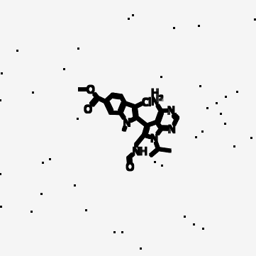 COC(=O)c1ccc2c(Cl)c(-c3c(CNC=O)n(C(C)C)c4ncnc(N)c34)n(C)c2c1